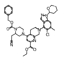 CCOC(=O)c1cc(N2CCN(C(=O)OCc3ccccc3)C(CC#N)C2)c2c(n1)CN(c1c(Cl)c(C)cc3c1cnn3C1CCCCO1)CC2